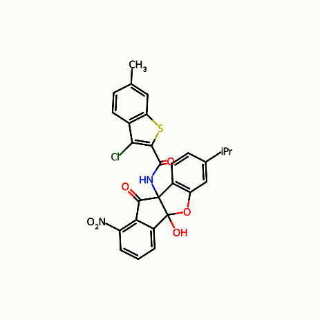 Cc1ccc2c(Cl)c(C(=O)NC34C(=O)c5c([N+](=O)[O-])cccc5C3(O)Oc3cc(C(C)C)ccc34)sc2c1